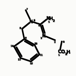 CC(=O)O.CN=C(N)N(C)Cc1ccccc1